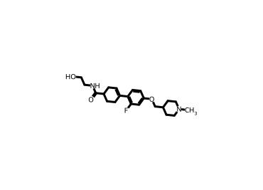 CN1CCC(COc2ccc(C3=CCC(C(=O)NCCO)CC3)c(F)c2)CC1